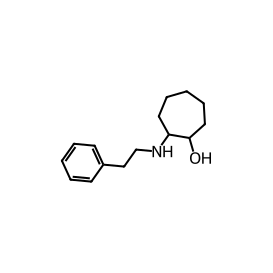 OC1CCCCCC1NCCc1ccccc1